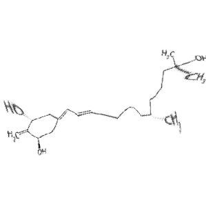 C=C1[C@H](O)CC(=C/C=C/CCC[C@@H](C)CCCC(C)(C)O)C[C@H]1O